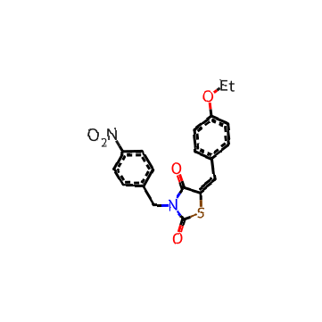 CCOc1ccc(C=C2SC(=O)N(Cc3ccc([N+](=O)[O-])cc3)C2=O)cc1